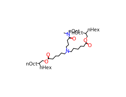 CCCCCCCCC(CCCCCC)COC(=O)CCCCCN(CCCCCC(=O)OCC(CCCCCC)CCCCCCCC)CCCC(=O)N(C)CCCCCCCC